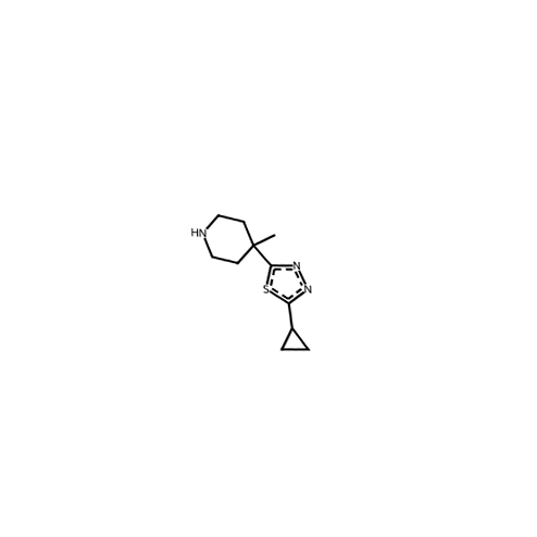 CC1(c2nnc(C3CC3)s2)CCNCC1